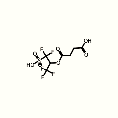 O=C(O)CCC(=O)OC(C(F)(F)F)C(F)(F)S(=O)(=O)O